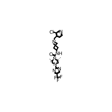 C[C@@H]1CN(c2ncc(C(F)(F)F)cn2)C[C@H](C)N1C(=O)NC1CC2(C1)CN(Cc1ccncc1Cl)C2